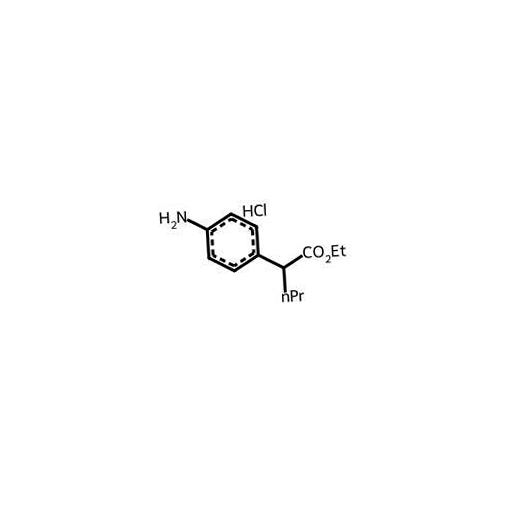 CCCC(C(=O)OCC)c1ccc(N)cc1.Cl